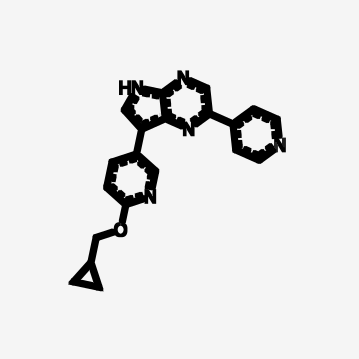 c1cc(-c2cnc3[nH]cc(-c4ccc(OCC5CC5)nc4)c3n2)ccn1